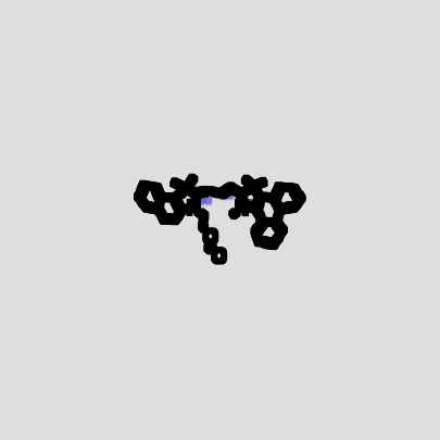 C[N+]1=C(/C=C/C=C2\N(CCOC=O)c3ccc4ccccc4c3C2(C)C)C(C)(C)c2c1c1ccccc1c1ccccc21